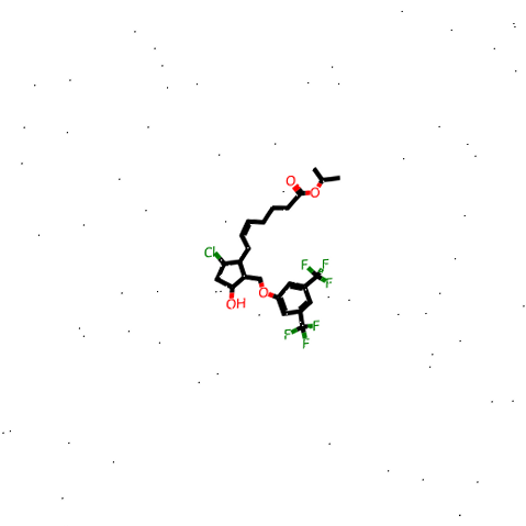 CC(C)OC(=O)CCC/C=C\CC1C(Cl)CC(O)C1COc1cc(C(F)(F)F)cc(C(F)(F)F)c1